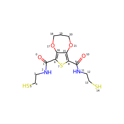 O=C(NCCS)c1sc(C(=O)NCCS)c2c1OCCCO2